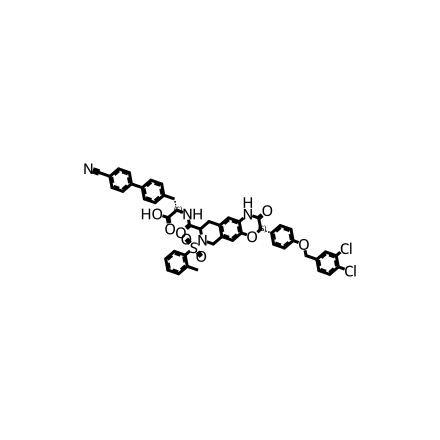 Cc1ccccc1S(=O)(=O)N1Cc2cc3c(cc2CC1C(=O)N[C@@H](Cc1ccc(-c2ccc(C#N)cc2)cc1)C(=O)O)NC(=O)[C@H](c1ccc(OCc2ccc(Cl)c(Cl)c2)cc1)O3